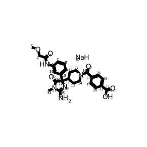 COCC(=O)Nc1cccc(C2(C3CCN(C(=O)c4ccc(C(=O)O)cc4)CC3)N=C(N)N(C)C2=O)c1.[NaH]